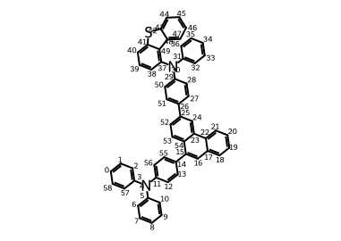 c1ccc(N(c2ccccc2)c2ccc(-c3cc4ccccc4c4cc(-c5ccc(N(c6ccccc6)c6cccc7sc8ccccc8c67)cc5)ccc34)cc2)cc1